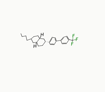 CCCCC1CC[C@@H]2C[C@H](c3ccc(-c4ccc(C(F)(F)F)cc4)cc3)CC[C@@H]2C1